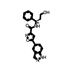 O=C(N[C@H](CCO)c1ccccc1)c1cc(-c2ccc3[nH]ncc3c2)on1